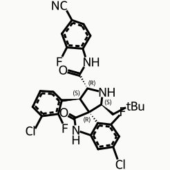 CC(C)(C)C[C@@H]1N[C@@H](C(=O)Nc2ccc(C#N)cc2F)[C@H](c2cccc(Cl)c2F)[C@]12C(=O)Nc1cc(Cl)cc(F)c12